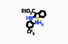 CCOC(=O)c1c(Nc2ccc(C(F)(F)F)cc2N)sc2ccccc12